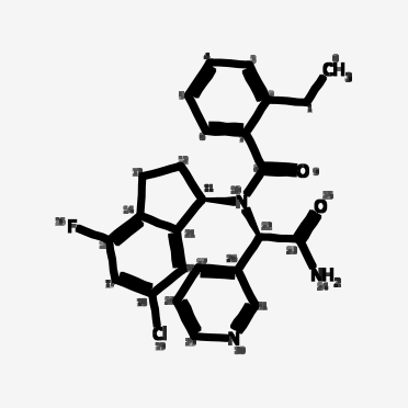 CCc1ccccc1C(=O)N([C@@H]1CCc2c(F)cc(Cl)cc21)[C@@H](C(N)=O)c1cccnc1